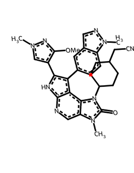 COc1nn(C)cc1-c1[nH]c2ncc3c(c2c1-c1ccc2c(cnn2C)c1)n(C1CCC(CC#N)CC1)c(=O)n3C